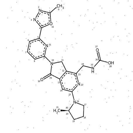 Cc1nnc(-c2cccc(N3Cc4c(cc(N5CCC[C@H]5C)nc4CNC(=O)O)C3=O)n2)o1